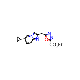 CCOC(=O)c1nnc(Cc2cn3cc(C4CC4)ccc3n2)o1